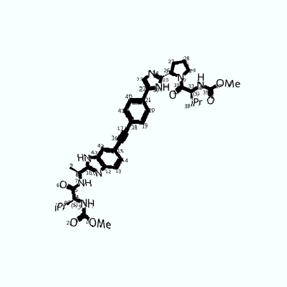 COC(=O)N[C@H](C(=O)N[C@@H](C)c1nc2ccc(C#Cc3ccc(-c4cnc([C@@H]5CCCN5C(=O)[C@@H](NC(=O)OC)C(C)C)[nH]4)cc3)cc2[nH]1)C(C)C